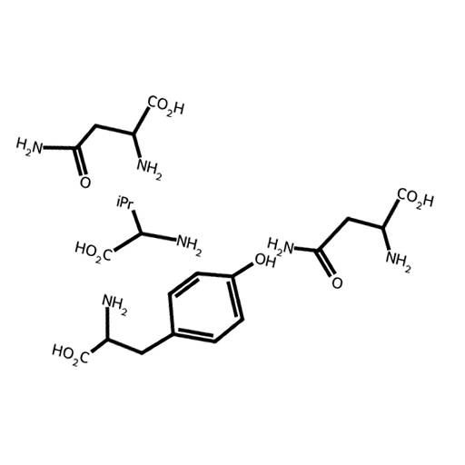 CC(C)C(N)C(=O)O.NC(=O)CC(N)C(=O)O.NC(=O)CC(N)C(=O)O.NC(Cc1ccc(O)cc1)C(=O)O